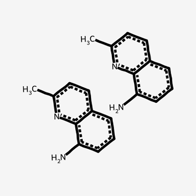 Cc1ccc2cccc(N)c2n1.Cc1ccc2cccc(N)c2n1